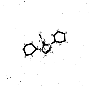 [I][Cu]=[c]1n(C2CCCCC2)ccn1C1CCCCC1